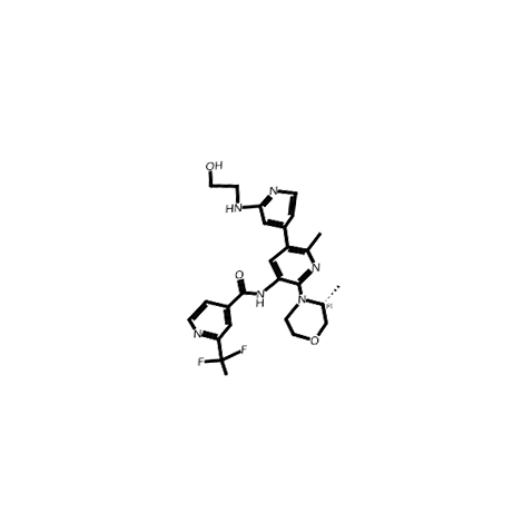 Cc1nc(N2CCOC[C@H]2C)c(NC(=O)c2ccnc(C(C)(F)F)c2)cc1-c1ccnc(NCCO)c1